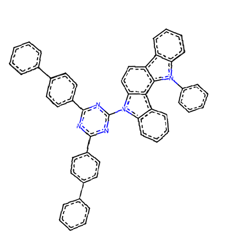 c1ccc(-c2ccc(-c3nc(-c4ccc(-c5ccccc5)cc4)nc(-n4c5ccccc5c5c4ccc4c6ccccc6n(-c6ccccc6)c45)n3)cc2)cc1